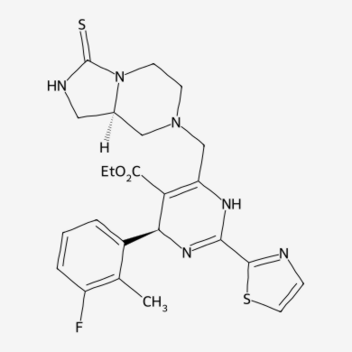 CCOC(=O)C1=C(CN2CCN3C(=S)NC[C@@H]3C2)NC(c2nccs2)=N[C@H]1c1cccc(F)c1C